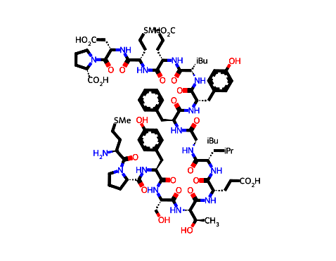 CC[C@H](C)[C@H](NC(=O)[C@H](CC(C)C)NC(=O)[C@H](CCC(=O)O)NC(=O)[C@@H](NC(=O)[C@H](CO)NC(=O)[C@H](Cc1ccc(O)cc1)NC(=O)[C@@H]1CCCN1C(=O)[C@@H](N)CCSC)[C@@H](C)O)C(=O)N[C@@H](Cc1ccccc1)C(=O)N[C@@H](Cc1ccc(O)cc1)C(=O)N[C@H](C(=O)N[C@@H](CCC(=O)O)C(=O)N[C@@H](CCSC)C(=O)N[C@@H](CC(=O)O)C(=O)N1CCC[C@H]1C(=O)O)[C@@H](C)CC